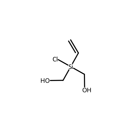 C=C[Si](Cl)(CO)CO